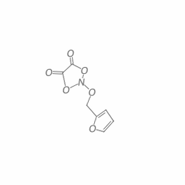 O=c1on(OCc2ccco2)oc1=O